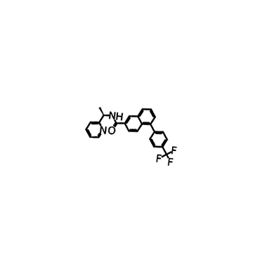 C[C@@H](NC(=O)c1ccc2c(-c3ccc(C(F)(F)F)cc3)cccc2c1)c1ccccn1